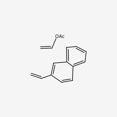 C=COC(C)=O.C=Cc1ccc2ccccc2c1